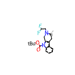 C[C@@H]1Cc2c(n(C(=O)OC(C)(C)C)c3ccccc23)CN1CC(F)F